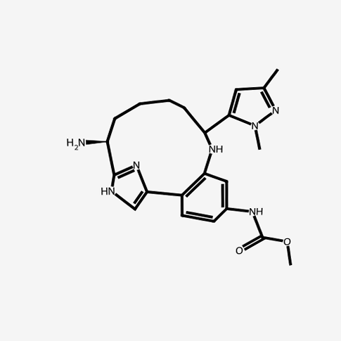 COC(=O)Nc1ccc2c(c1)NC(c1cc(C)nn1C)CCCC[C@H](N)c1nc-2c[nH]1